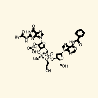 CC(C)C(=O)Nc1nc2c(ncn2[C@@H]2O[C@H](COP(=O)(OCCC#N)O[C@H]3C[C@H](n4cnc5c(NC(=O)c6ccccc6)ncnc54)O[C@@H]3CO)[C@@H](O[Si](C)(C)C(C)(C)C)[C@H]2O[PH](=O)O)c(=O)[nH]1